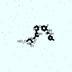 CCNC(=O)C(CCC(=O)O)NC(=O)c1c[nH]c(-c2cc(Oc3ccc(NC(=O)Nc4cccc(C)c4)c(F)c3)ccn2)c1